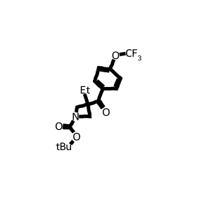 CCC1(C(=O)c2ccc(OC(F)(F)F)cc2)CN(C(=O)OC(C)(C)C)C1